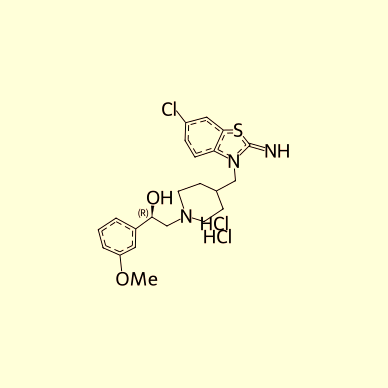 COc1cccc([C@@H](O)CN2CCC(Cn3c(=N)sc4cc(Cl)ccc43)CC2)c1.Cl.Cl